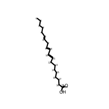 CCCCCC=CCC=CC=CCCCCCCCC(=O)O